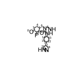 COc1ccc(CN(C=N)C(=O)Nc2ccc(-c3cn[nH]c3)cc2)cc1F